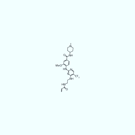 C=CC(=O)NCCNc1nc(Nc2ccc(C(=O)NC3CCN(C)CC3)cc2OC)ncc1C(F)(F)F